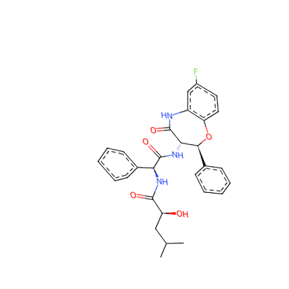 CC(C)C[C@H](O)C(=O)N[C@H](C(=O)N[C@@H]1C(=O)Nc2cc(F)ccc2O[C@H]1c1ccccc1)c1ccccc1